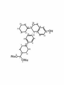 COC(OC)C1CCN(c2ccc([C@H]3c4ccc(O)cc4CO[C@@H]3C3CCCCC3)cc2)CC1